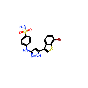 NS(=O)(=O)c1ccc(Nc2cc(-c3csc4c(Br)cccc34)[nH]n2)cc1